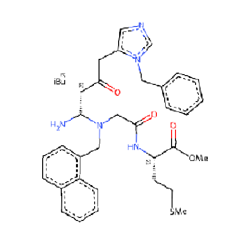 CC[C@H](C)[C@H](C(=O)Cc1cncn1Cc1ccccc1)C(N)N(CC(=O)N[C@@H](CCSC)C(=O)OC)Cc1cccc2ccccc12